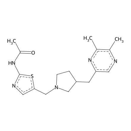 CC(=O)Nc1ncc(CN2CCC(Cc3cnc(C)c(C)n3)C2)s1